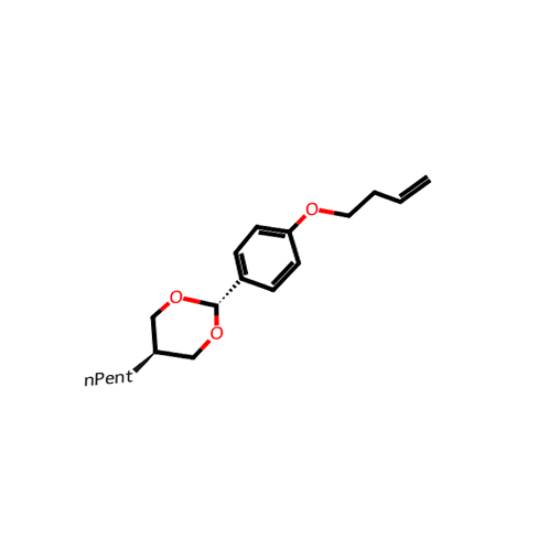 C=CCCOc1ccc([C@H]2OC[C@H](CCCCC)CO2)cc1